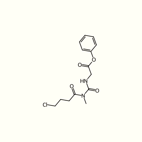 CN(C(=O)CCCCl)C(=O)NCC(=O)Oc1ccccc1